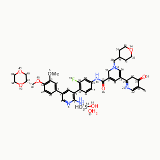 COc1cc(-c2cnc(N)c(-c3ccc(NC(=O)C4=CC(C5=NC=C(C)C(=O)C5)=CN(CC5CCOCC5)C4)cc3F)c2)ccc1OC[C@H]1COCCO1.O.O=S(=O)(O)O